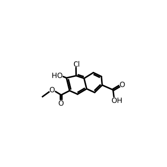 COC(=O)c1cc2cc(C(=O)O)ccc2c(Cl)c1O